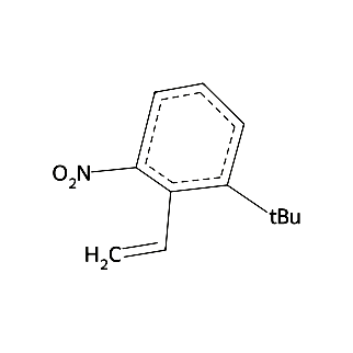 C=Cc1c([N+](=O)[O-])cccc1C(C)(C)C